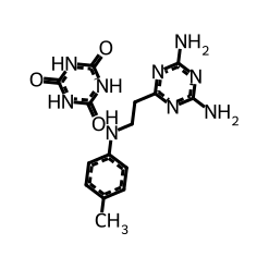 Cc1ccc(NCCc2nc(N)nc(N)n2)cc1.O=c1[nH]c(=O)[nH]c(=O)[nH]1